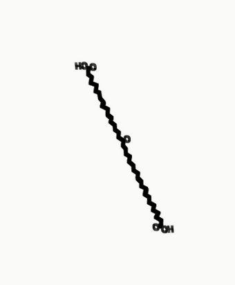 O=C(O)CCCCCCCC=CCC=CCCCCCCCCC(=O)CCCCCC=CCC=CCCCCCCCC(=O)O